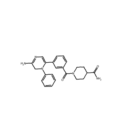 NC(=O)C1CCN(C(=O)c2cccc(C3=CN=C(N)CN3c3ccccc3)c2)CC1